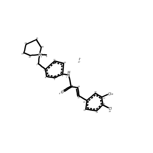 C[N+]1(Cc2ccc(NC(=O)C=Cc3ccc(Cl)c(Cl)c3)cc2)CCCCC1.[I-]